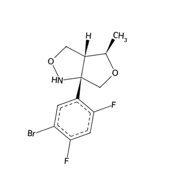 C[C@H]1OC[C@]2(c3cc(Br)c(F)cc3F)NOC[C@H]12